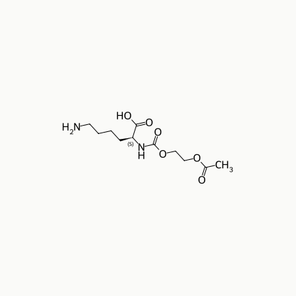 CC(=O)OCCOC(=O)N[C@@H](CCCCN)C(=O)O